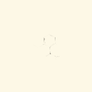 CCSc1ccccc1C(=O)NC